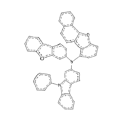 c1ccc(-n2c3ccccc3c3ccc(N(c4ccc5c(c4)oc4ccccc45)c4cccc5oc6c7ccccc7ccc6c45)cc32)cc1